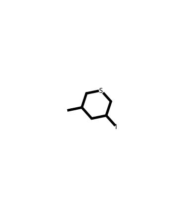 CC1CSCC(I)C1